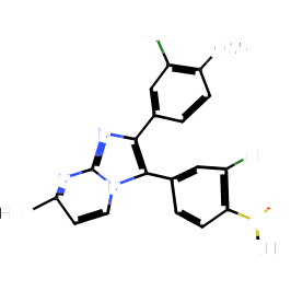 COc1ccc(-c2nc3nc(C)ccn3c2-c2ccc([S+](C)[O-])c(Cl)c2)cc1Cl